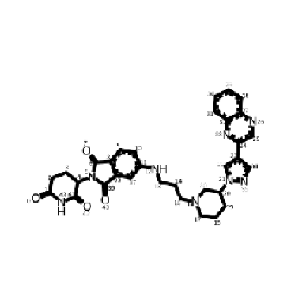 O=C1CCC(N2C(=O)c3ccc(NCCCN4CCCC(n5cc(-c6cnc7ccccc7n6)cn5)C4)cc3C2=O)C(=O)N1